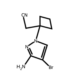 N#CCC1(n2cc(Br)c(N)n2)CCC1